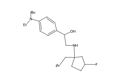 CCC(C)N(CC)c1ccc(C(O)CNC2(CC(C)C)CCC(F)C2)cc1